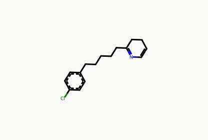 Clc1ccc(CCCCCC2=NC=CCC2)cc1